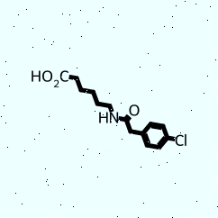 O=C(O)CCCCCNC(=O)Cc1ccc(Cl)cc1